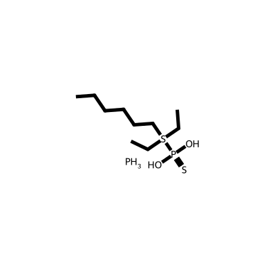 CCCCCCS(CC)(CC)P(O)(O)=S.P